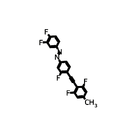 Cc1cc(F)c(C#Cc2ccc(N=Nc3ccc(F)c(F)c3)cc2F)c(F)c1